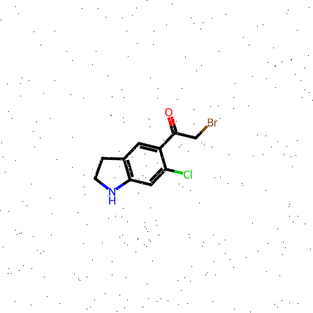 O=C(CBr)c1cc2c(cc1Cl)NCC2